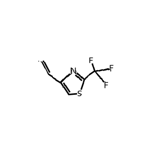 [CH]=Cc1csc(C(F)(F)F)n1